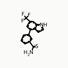 NC(=S)c1cccc(-c2cc(C(F)(F)F)cc3[nH]ccc23)c1